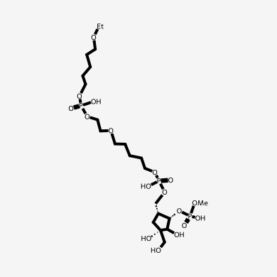 CCOCCCCCOP(=O)(O)OCCOCCCCCOP(=O)(O)OC[C@H]1C[C@](O)(CO)C(O)[C@H]1OP(=O)(O)OC